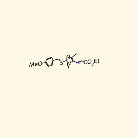 CCOC(=O)/C=C/c1c(C)nc(SCc2ccc(OC)cc2)n1C